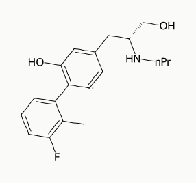 CCCN[C@@H](CO)Cc1c[c]c(-c2cccc(F)c2C)c(O)c1